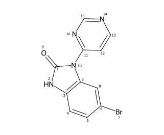 O=c1[nH]c2ccc(Br)cc2n1-c1ccncn1